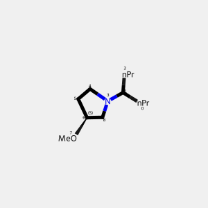 CCCC(CCC)N1CC[C@H](OC)C1